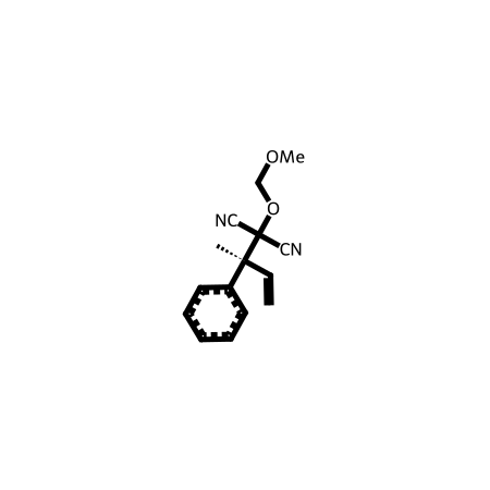 C=C[C@@](C)(c1ccccc1)C(C#N)(C#N)OCOC